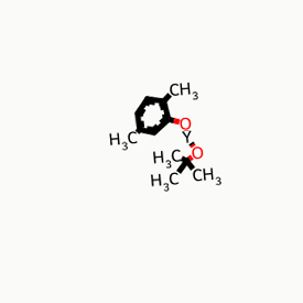 Cc1ccc(C)c([O][Y][O]C(C)(C)C)c1